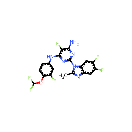 Cc1nc2cc(F)c(F)cc2n1-c1nc(N)c(F)c(Nc2ccc(OC(F)F)c(F)c2)n1